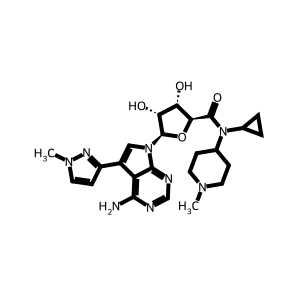 CN1CCC(N(C(=O)[C@H]2O[C@@H](n3cc(-c4ccn(C)n4)c4c(N)ncnc43)[C@H](O)[C@@H]2O)C2CC2)CC1